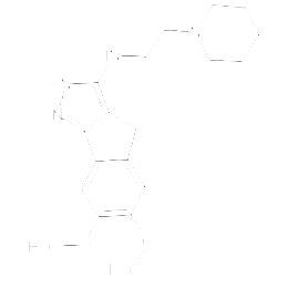 COc1cc2c(cc1OC)-c1n[nH]c(NCCN3CCCCC3)c1C2